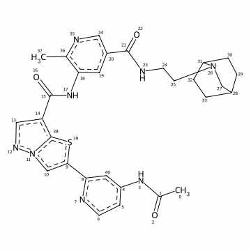 CC(=O)Nc1ccnc(-c2cn3ncc(C(=O)Nc4cc(C(=O)NCCN5CC6CCC5CC6)cnc4C)c3s2)c1